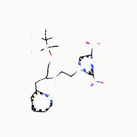 CC(C)(C)[Si](C)(C)OCC(Cc1ccccn1)NCCn1cc([N+](=O)[O-])nc1[N+](=O)[O-]